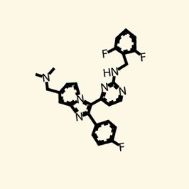 CN(C)Cc1ccn2c(-c3ccnc(NCc4c(F)cccc4F)n3)c(-c3ccc(F)cc3)nc2c1